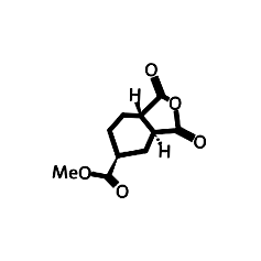 COC(=O)[C@H]1CC[C@@H]2C(=O)OC(=O)[C@H]2C1